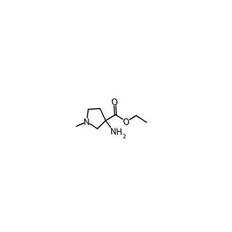 CCOC(=O)C1(N)CCN(C)C1